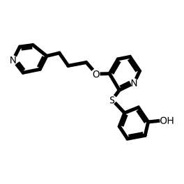 Oc1cccc(Sc2ncccc2OCCCc2ccncc2)c1